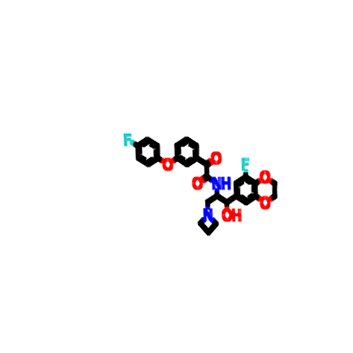 O=C(NC(CN1CCC1)C(O)c1cc(F)c2c(c1)OCCO2)C(=O)c1cccc(Oc2ccc(F)cc2)c1